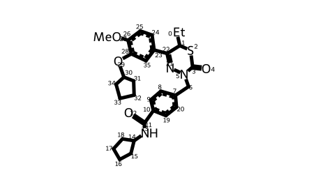 CCC1SC(=O)N(Cc2ccc(C(=O)NC3CCCC3)cc2)N=C1c1ccc(OC)c(OC2CCCC2)c1